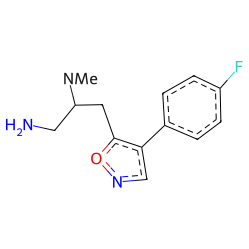 CNC(CN)Cc1oncc1-c1ccc(F)cc1